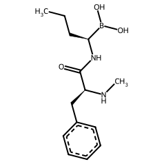 CCC[C@H](NC(=O)[C@H](Cc1ccccc1)NC)B(O)O